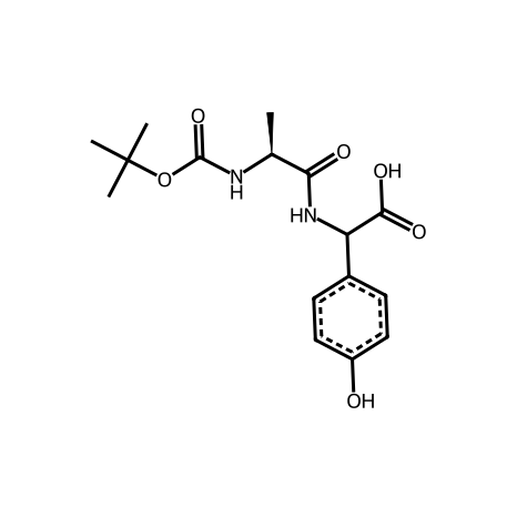 C[C@H](NC(=O)OC(C)(C)C)C(=O)NC(C(=O)O)c1ccc(O)cc1